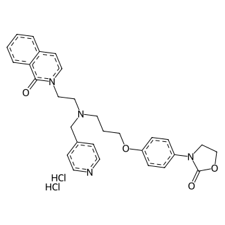 Cl.Cl.O=C1OCCN1c1ccc(OCCCN(CCn2ccc3ccccc3c2=O)Cc2ccncc2)cc1